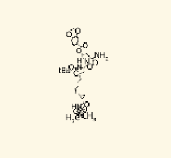 CN(C)S(=O)(=O)NC(=O)[C@H]1C[C@H]1/C=C\CCCCC[C@H](NC(=O)OC(C)(C)C)C(=O)N1C[C@H](OC(=O)c2ccc3c(c2)OCCO3)C[C@H]1C(N)=O